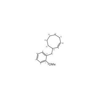 COc1ccccc1CC1C=CCCCCC1